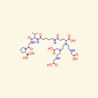 CC(C)C(NC(=O)CCCCNC(=O)CCC(C(=O)O)N(CCNCC(=O)O)CCN(CCNCC(=O)O)CC(=O)O)C(=O)NCC(=O)N1CCC[C@H]1B(O)O